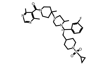 Cc1ncnc(C)c1C(=O)N1CCC(C)(N2CCN([C@H](CC3CCN(S(=O)(=O)C4CC4)CC3)c3cccc(F)c3)C(C)C2)CC1